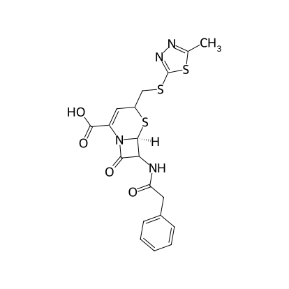 Cc1nnc(SCC2C=C(C(=O)O)N3C(=O)C(NC(=O)Cc4ccccc4)[C@@H]3S2)s1